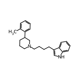 Cc1ccccc1C1CCCN(CCCCc2c[nH]c3ccccc23)C1